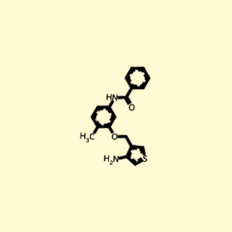 Cc1ccc(NC(=O)c2ccccc2)cc1OCc1cscc1N